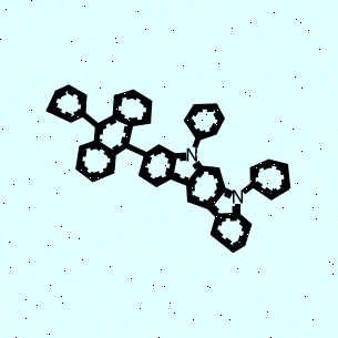 c1ccc(-c2c3ccccc3c(-c3ccc4c5cc6c7ccccc7n(-c7ccccc7)c6cc5n(-c5ccccc5)c4c3)c3ccccc23)cc1